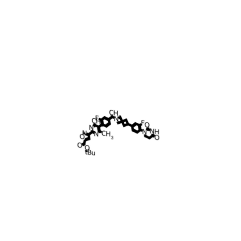 Cc1nc(-c2cc(C(=O)OC(C)(C)C)on2)nc(C)c1-c1ccc(C(C)N2CC3(CC(c4ccc(N5CCC(=O)NC5=O)c(F)c4)C3)C2)cc1F